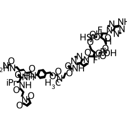 CC(C)C(NC(=O)CCN1C(=O)C=CC1=O)C(=O)N[C@@H](CCCNC(N)=O)C(=O)Nc1ccc(COC(=O)N(C)CCOC(=O)Nc2ncnc3c2ccn3[C@@H]2OC3CO[P@@](=O)(S)O[C@H]4[C@@H](F)[C@H](n5cnc6c(N)ncnc65)O[C@@H]4COP(=O)(O)O[C@H]3[C@H]2F)cc1